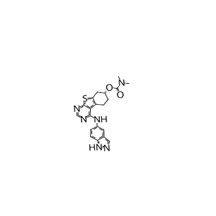 CN(C)C(=O)OC1CCc2c(sc3ncnc(Nc4ccc5[nH]ncc5c4)c23)C1